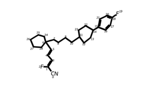 N#CC(F)=CC=CC1(CCCCC2CCC(c3ccc(F)cc3)CC2)CCCCC1